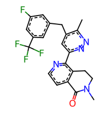 Cc1nnc(-c2nccc3c2CCN(C)C3=O)cc1Cc1cc(F)cc(C(F)(F)F)c1